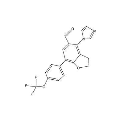 O=Cc1cc(-c2ccc(OC(F)(F)F)cc2)c2c(c1-n1ccnc1)CCO2